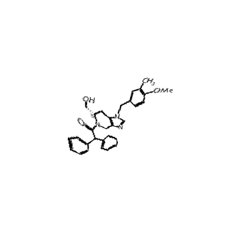 COc1ccc(Cn2cnc3c2C[C@@H](CO)N(C(=O)C(c2ccccc2)c2ccccc2)C3)cc1C